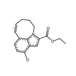 CCOC(=O)c1cc2c(Cl)ccc3c2n1CCC/C=C\3